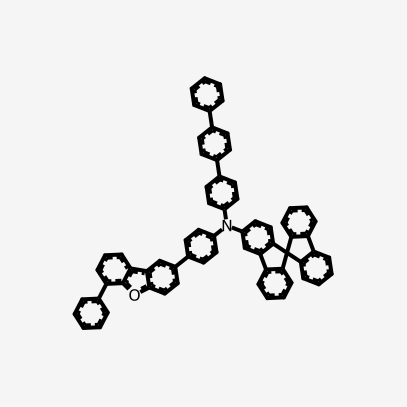 c1ccc(-c2ccc(-c3ccc(N(c4ccc(-c5ccc6oc7c(-c8ccccc8)cccc7c6c5)cc4)c4ccc5c(c4)-c4ccccc4C54c5ccccc5-c5ccccc54)cc3)cc2)cc1